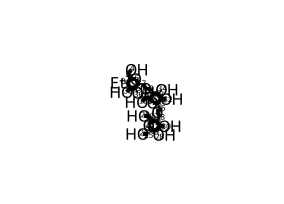 CC[C@@H]1C(CO)O[C@@H](COC[C@@H]2C(CO)O[C@@H](COC[C@@H]3C(CO)O[C@@H](CO)[C@@H](O)C3O)C(O)[C@@H]2O)[C@@H](O)C1O